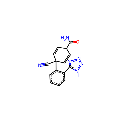 N#CC1(c2ccccc2-c2nnn[nH]2)C=CC(C(N)=O)C=C1